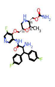 C[C@H]1O[C@H](COc2c(F)cncc2NC(=O)C(N)C(c2ccc(F)cc2)c2ccc(F)cc2)CN[C@@H]1COC(N)=O